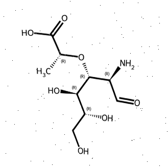 C[C@@H](O[C@@H]([C@H](O)[C@H](O)CO)[C@@H](N)C=O)C(=O)O